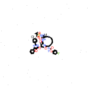 CC1(S(=O)(=O)NC(=O)[C@@]23C[C@H]2/C=C\CCCCC[C@H](NC(=O)Oc2ccc(F)cc2)C(=O)N2C[C@H](Oc4nc(-c5ccc(C(F)(F)F)cc5)nc5c4oc4ccccc45)C[C@H]2C(=O)N3)CC1